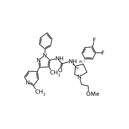 COCCN1C[C@@H](NC(=O)Nc2c(C)c(-c3ccnc(C)c3)nn2-c2ccccc2)[C@H](c2ccc(F)c(F)c2)C1